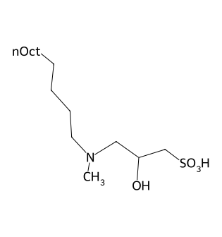 CCCCCCCCCCCCN(C)CC(O)CS(=O)(=O)O